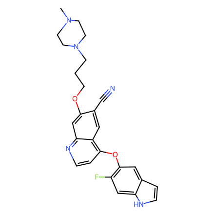 CN1CCN(CCCOc2cc3nccc(Oc4cc5cc[nH]c5cc4F)c3cc2C#N)CC1